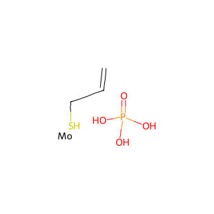 C=CCS.O=P(O)(O)O.[Mo]